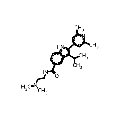 Cc1cc(-c2[nH]c3ccc(C(=O)NCCN(C)C)cc3c2C(C)C)cc(C)n1